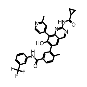 Cc1cc(-c2c(O)c(-c3cc(C(=O)Nc4cccc(C(F)(F)F)c4)ccc3C)cc3cnc(NC(=O)C4CC4)nc23)ccn1